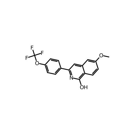 COc1ccc2c(O)nc(-c3ccc(OC(F)(F)F)cc3)cc2c1